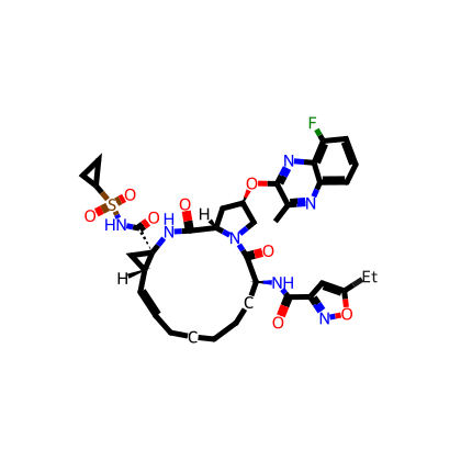 CCc1cc(C(=O)N[C@H]2CCCCC/C=C\[C@@H]3C[C@@]3(C(=O)NS(=O)(=O)C3CC3)NC(=O)[C@@H]3C[C@@H](Oc4nc5c(F)cccc5nc4C)CN3C2=O)no1